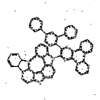 C1=CC2c3ccc4sc5ccc6c7c5c4c3n(c3cccc(c73)n6-c3nc4c5ccccc5c5ccccc5c4nc3-c3ccc(-c4ccccc4)cc3-c3ccccc3)C2C=C1